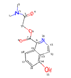 CN(C)C(=O)COC(=O)c1nccc2c(O)cccc12